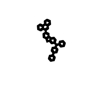 c1ccc(-c2ccc(N(c3ccccc3)c3ccc4c(c3)sc3ccc(-c5cc6ccccc6c6ccccc56)cc34)cc2)cc1